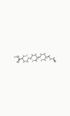 COC(=O)[C@H]1CC[C@H]([C@H]2CC[C@H]([C@H]3CC[C@H](CCC=O)CC3)CC2)CC1